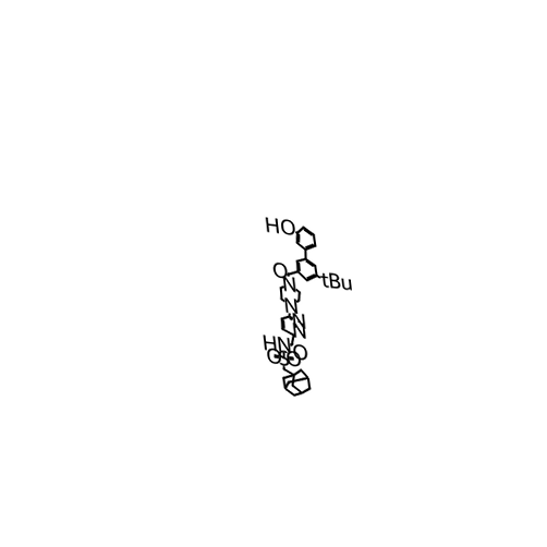 CC(C)(C)c1cc(C(=O)N2CCN(c3ccc(C(=O)NS(=O)(=O)CC45CC6CC(CC(C6)C4)C5)nn3)CC2)cc(-c2cccc(O)c2)c1